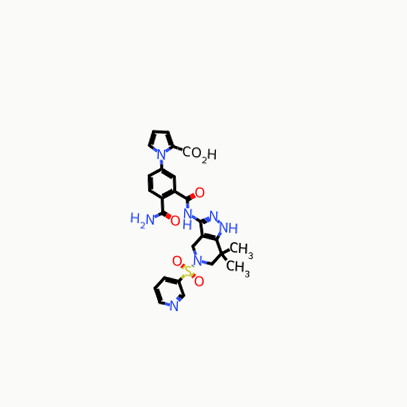 CC1(C)CN(S(=O)(=O)c2cccnc2)Cc2c(NC(=O)c3cc(-n4cccc4C(=O)O)ccc3C(N)=O)n[nH]c21